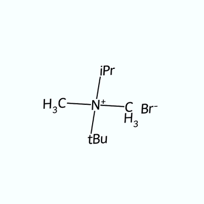 CC(C)[N+](C)(C)C(C)(C)C.[Br-]